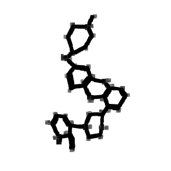 CN1CCC(Nc2ccc3c(c2)Sc2cccc(C4CN(c5ccc[nH]c5=O)CCO4)c2O3)CC1